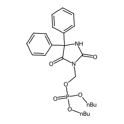 CCCCOP(=O)(OCCCC)OCN1C(=O)NC(c2ccccc2)(c2ccccc2)C1=O